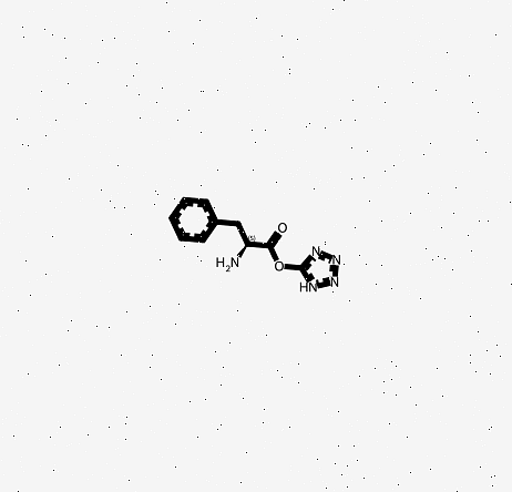 N[C@@H](Cc1ccccc1)C(=O)Oc1nnn[nH]1